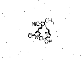 CC1C[C@@H](C#N)[C@H](/C=C/c2cc(Cl)nc(Cl)c2)[C@H]1CCCc1ccc(CO)s1